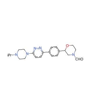 CC(C)N1CCN(c2ccc(-c3ccc(C4CN(C=O)CCO4)cc3)nn2)CC1